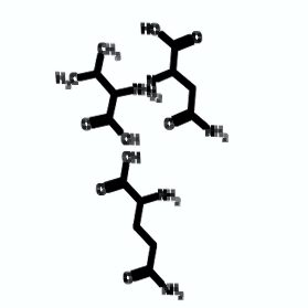 CC(C)C(N)C(=O)O.NC(=O)CC(N)C(=O)O.NC(=O)CCC(N)C(=O)O